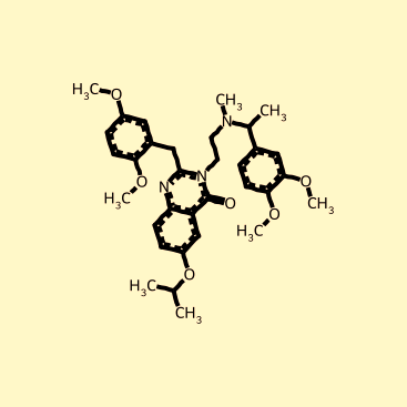 COc1ccc(OC)c(Cc2nc3ccc(OC(C)C)cc3c(=O)n2CCN(C)C(C)c2ccc(OC)c(OC)c2)c1